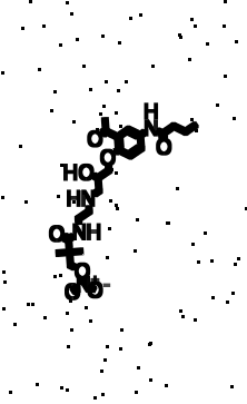 CCCC(=O)Nc1ccc(OCC(O)CNCCNC(=O)C(C)(C)CO[N+](=O)[O-])c(C(C)=O)c1